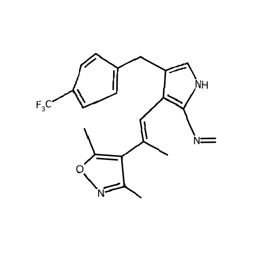 C=Nc1[nH]cc(Cc2ccc(C(F)(F)F)cc2)c1/C=C(\C)c1c(C)noc1C